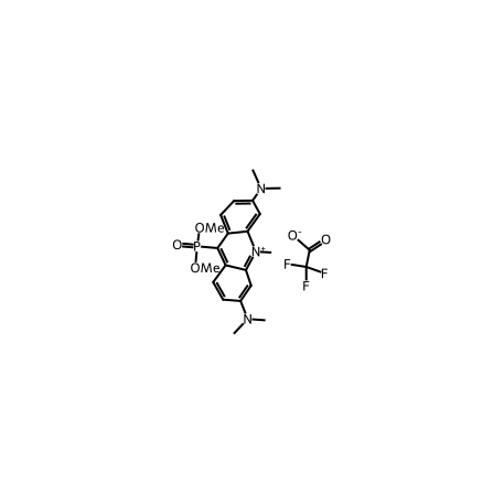 COP(=O)(OC)c1c2ccc(N(C)C)cc2[n+](C)c2cc(N(C)C)ccc12.O=C([O-])C(F)(F)F